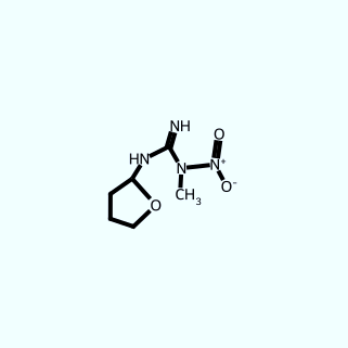 CN(C(=N)NC1CCCO1)[N+](=O)[O-]